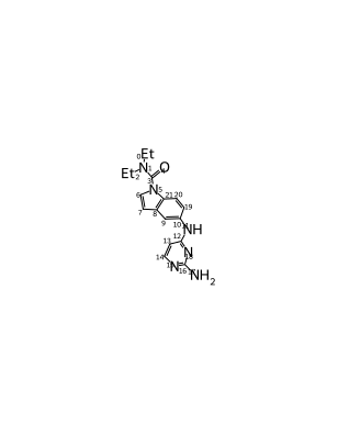 CCN(CC)C(=O)n1ccc2cc(Nc3ccnc(N)n3)ccc21